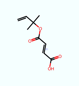 C=CC(C)(C)OC(=O)/C=C/C(=O)O